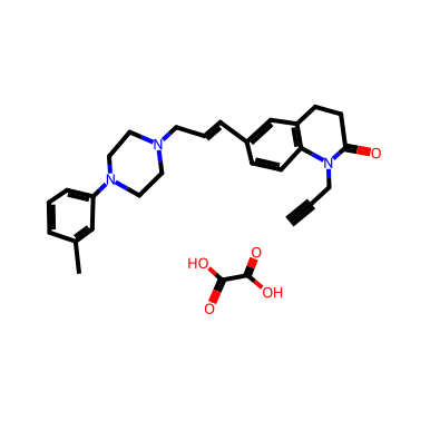 C#CCN1C(=O)CCc2cc(/C=C/CN3CCN(c4cccc(C)c4)CC3)ccc21.O=C(O)C(=O)O